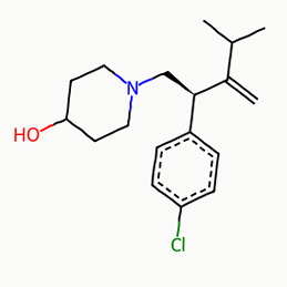 C=C(C(C)C)[C@H](CN1CCC(O)CC1)c1ccc(Cl)cc1